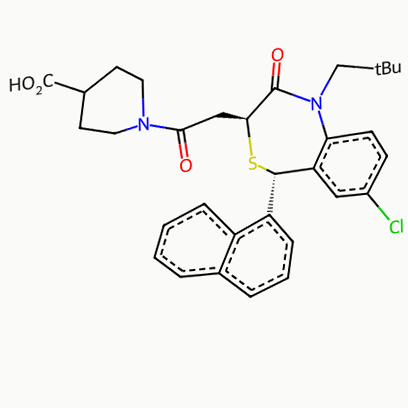 CC(C)(C)CN1C(=O)[C@H](CC(=O)N2CCC(C(=O)O)CC2)S[C@@H](c2cccc3ccccc23)c2cc(Cl)ccc21